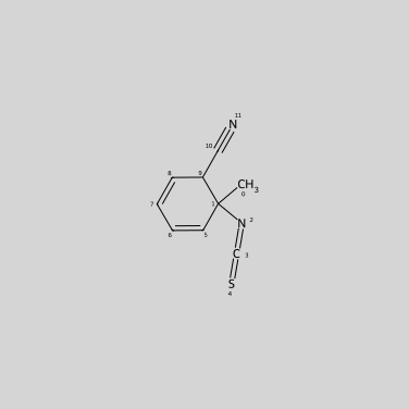 CC1(N=C=S)C=CC=CC1C#N